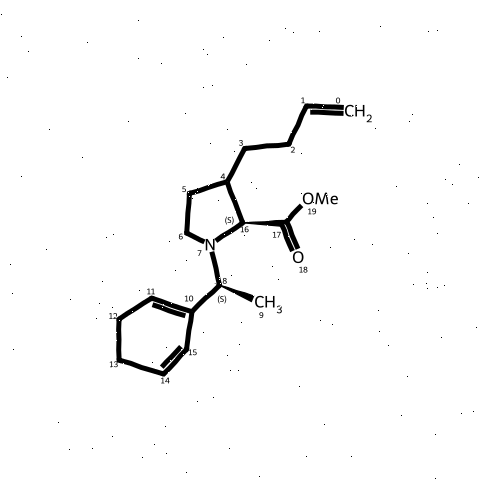 C=CCCC1CCN([C@@H](C)C2=CCCC=C2)[C@@H]1C(=O)OC